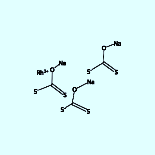 [Na][O]C(=S)[S-].[Na][O]C(=S)[S-].[Na][O]C(=S)[S-].[Rh+3]